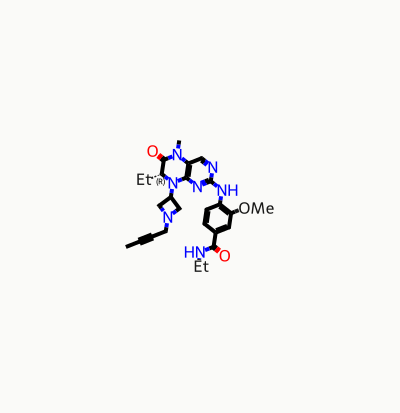 CC#CCN1CC(N2c3nc(Nc4ccc(C(=O)NCC)cc4OC)ncc3N(C)C(=O)[C@H]2CC)C1